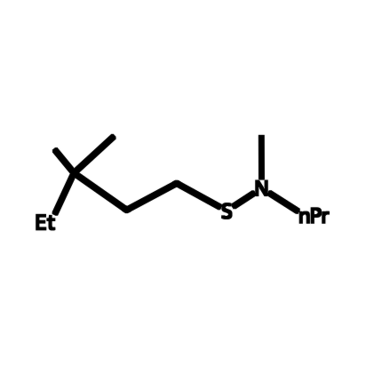 CCCN(C)SCCC(C)(C)CC